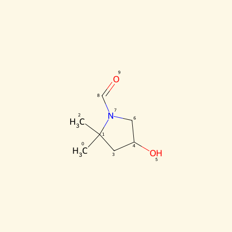 CC1(C)CC(O)CN1C=O